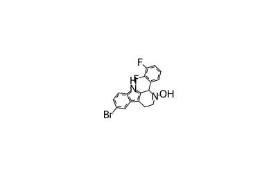 ON1CCc2c([nH]c3ccc(Br)cc23)C1c1cccc(F)c1F